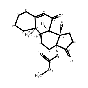 COC(=O)C[C@]12CC[C@H]3[C@@H](C(=O)C=C4CCCC[C@@]43C)[C@@H]1CCC2=O